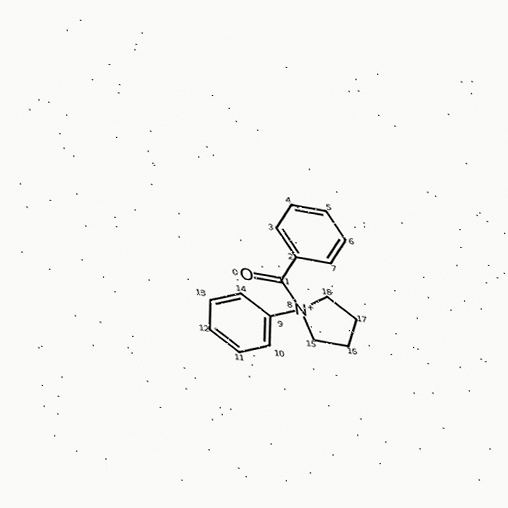 O=C(c1ccccc1)[N+]1(c2ccccc2)CCCC1